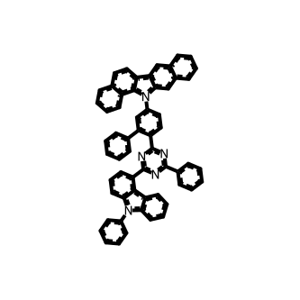 c1ccc(-c2nc(-c3ccc(-n4c5cc6ccccc6cc5c5ccc6ccccc6c54)cc3-c3ccccc3)nc(-c3cccc4c3c3ccccc3n4-c3ccccc3)n2)cc1